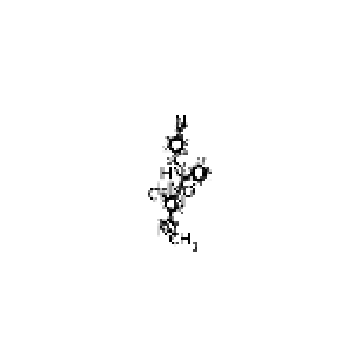 Cn1cc(-c2cnc(NC(=O)C(NCCc3ccc(C#N)cc3)c3ccccc3)c(Cl)c2)cn1